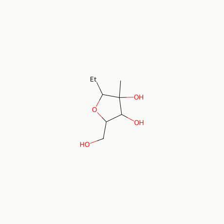 CCC1OC(CO)C(O)C1(C)O